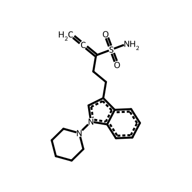 C=C=C(CCc1cn(N2CCCCC2)c2ccccc12)S(N)(=O)=O